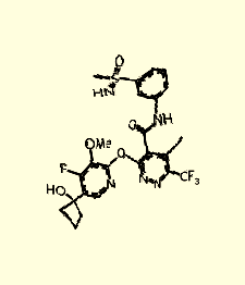 COc1c(Oc2nnc(C(F)(F)F)c(C)c2C(=O)Nc2cccc(S(C)(=N)=O)c2)ncc(C2(O)CCC2)c1F